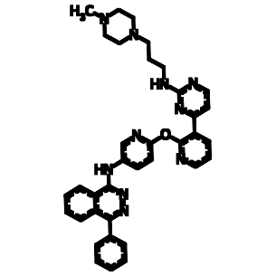 CN1CCN(CCCNc2nccc(-c3cccnc3Oc3ccc(Nc4nnc(-c5ccccc5)c5ccccc45)cn3)n2)CC1